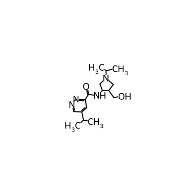 CC(C)c1cnnc(C(=O)NC2CN(C(C)C)CC2CO)c1